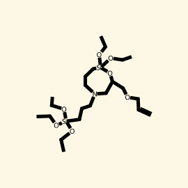 C=CCOCC1CN(CCC[Si](OCC)(OCC)OCC)CCC[Si](OCC)(OCC)O1